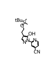 CC(C)(C)[Si](C)(C)OCCc1cnn(-c2cc(C#N)ccn2)c1O